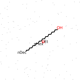 CCCCCCCCCCCCCCCCCCCCCCCCCCCCCCO.CCCCCCOCC